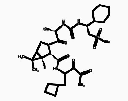 CC(C)(C)[C@H](NC(=O)N[C@H](CS(=O)(=O)C(C)(C)C)C1CCCCC1)C(=O)N1CC2[C@@H]([C@H]1C(=O)NC(CC1CCC1)C(=O)C(N)=O)C2(C)C